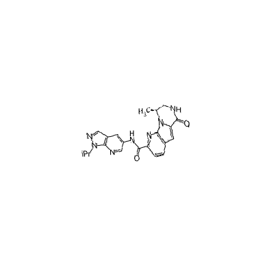 CC(C)n1ncc2cc(NC(=O)c3ccc4cc5n(c4n3)[C@@H](C)CNC5=O)cnc21